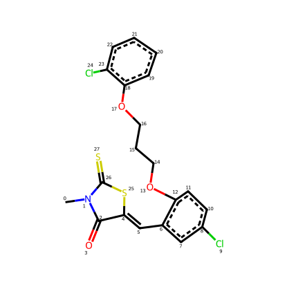 CN1C(=O)C(=Cc2cc(Cl)ccc2OCCCOc2ccccc2Cl)SC1=S